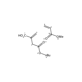 C=C(CC(=O)OCCCC)C(=O)O.C=CC(=O)OC